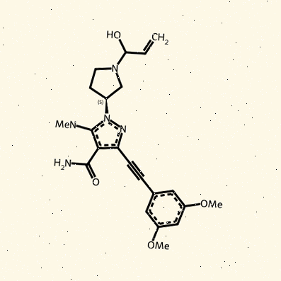 C=CC(O)N1CC[C@H](n2nc(C#Cc3cc(OC)cc(OC)c3)c(C(N)=O)c2NC)C1